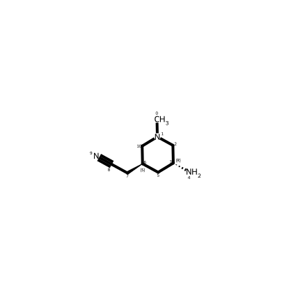 CN1C[C@H](N)C[C@@H](CC#N)C1